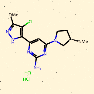 CN[C@@H]1CCN(c2cc(-c3[nH]nc(OC)c3Cl)nc(N)n2)C1.Cl.Cl